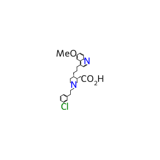 COc1ccc2nccc(CCC[C@@H]3CCN(CCCc4cccc(Cl)c4)C[C@@H]3CC(=O)O)c2c1